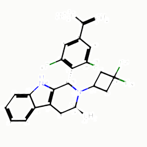 C=C(C(=O)O)c1cc(F)c([C@H]2c3[nH]c4ccccc4c3C[C@H](C)N2C2CC(F)(F)C2)c(F)c1